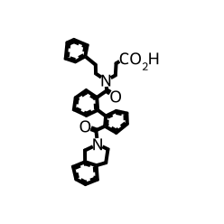 O=C(O)CCN(CCc1ccccc1)C(=O)c1ccccc1-c1ccccc1C(=O)N1CCc2ccccc2C1